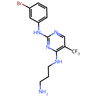 NCCCNc1nc(Nc2cccc(Br)c2)ncc1C(F)(F)F